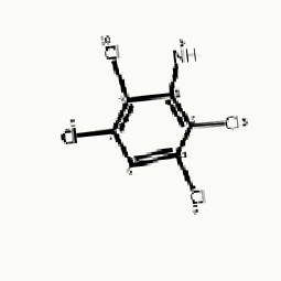 [NH]c1c(Cl)c(Cl)cc(Cl)c1Cl